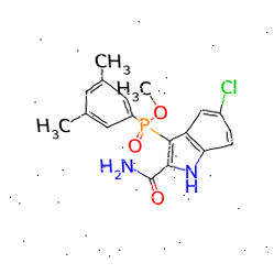 COP(=O)(c1cc(C)cc(C)c1)c1c(C(N)=O)[nH]c2ccc(Cl)cc12